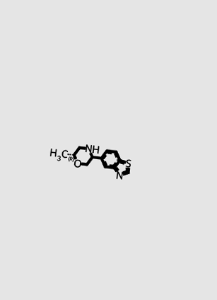 C[C@@H]1CNC(c2ccc3scnc3c2)CO1